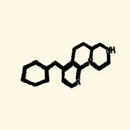 c1cc(CC2CCCCC2)c2c(n1)N1CCNCC1CC2